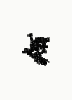 CCNCCOCc1cc(OCCNCC)cc(C(=O)NC(=O)C[C@@H]2NC(=O)[C@H](NC(=O)[C@@H](CC(C)C)NC)[C@H](O)c3ccc(c(Cl)c3)Oc3cc4cc(c3O[C@@H]3O[C@H](CO)[C@@H](O)[C@H](O)[C@H]3O[C@H]3C[C@](C)(N)[C@H](O)[C@H](C)O3)Oc3ccc(cc3Cl)[C@@H](O)[C@@H]3NC(=O)[C@H](NC(=O)[C@@H]4NC2=O)c2ccc(O)c(c2)-c2c(O)cc(O)cc2[C@@H](C(=O)NC2C4CC5CC(C4)CC2C5)NC3=O)c1